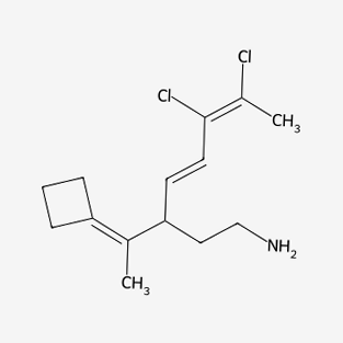 CC(=C1CCC1)C(/C=C/C(Cl)=C(\C)Cl)CCN